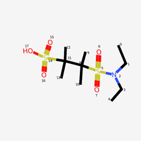 CCN(CC)S(=O)(=O)C(C)(C)C(C)(C)S(=O)(=O)O